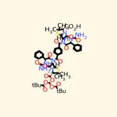 CC(C)(C)C(=O)OC(OC(=O)[C@@H]1N2C(=O)[C@@H](N(C(=O)c3ccc(C(=O)N(C(=O)C(NC(N)=O)c4ccccc4)[C@@H]4C(=O)N5[C@@H]4SC(C)(C)[C@@H]5C(=O)O)cc3)C(=O)C(NC(N)=O)c3ccccc3)[C@H]2SC1(C)C)OC(=O)C(C)(C)C